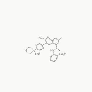 Cc1cc([C@@H](C)Nc2ccccc2C(=O)O)c2cc(-c3cnc(C4(C#N)CCOCC4)c(F)c3)c(C#N)nc2c1